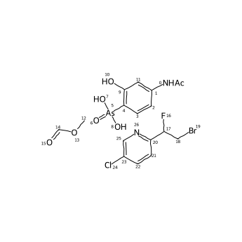 CC(=O)Nc1ccc([As](=O)(O)O)c(O)c1.COC=O.FC(CBr)c1ccc(Cl)cn1